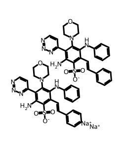 Nc1c(-c2ccnnn2)c(N2CCOCC2)c(Nc2ccccc2)c(C=Cc2ccccc2)c1S(=O)(=O)[O-].Nc1c(-c2ccnnn2)c(N2CCOCC2)c(Nc2ccccc2)c(C=Cc2ccccc2)c1S(=O)(=O)[O-].[Na+].[Na+]